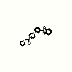 Cn1c(-c2cccc(N3CCN(C(=O)CN4CCCC4)CC3)c2)nc2ccccc21